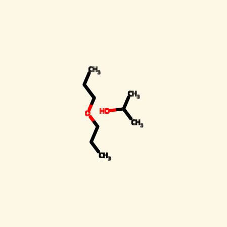 CC(C)O.CCCOCCC